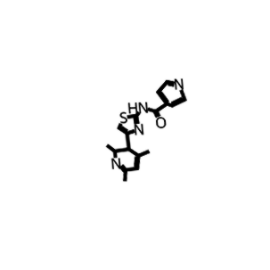 CC1=CC(C)=NC(C)C1c1csc(NC(=O)c2ccncc2)n1